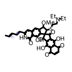 C/C=C/C=C/c1cc2cc3c(c(O)c2c(=O)[nH]1)C1(C(=O)c2c(O)c4c(c(O)c2C1=O)C(=O)C=CC4=O)C(SCCN(CC)CC)C3OC